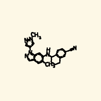 Cc1cc2cnn(-c3cnn(C)c3)c2cc1NC1CCCc2cc(C#N)ccc21